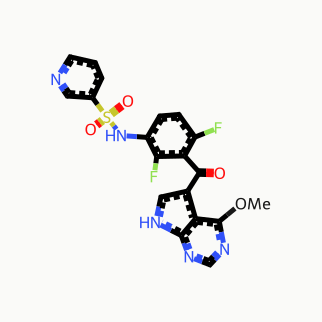 COc1ncnc2[nH]cc(C(=O)c3c(F)ccc(NS(=O)(=O)c4cccnc4)c3F)c12